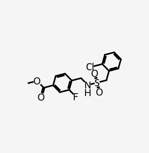 COC(=O)c1ccc(CNS(=O)(=O)Cc2ccccc2Cl)c(F)c1